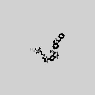 CS(=O)(=O)CCNCc1cnc(-c2ccc3ncnc(Nc4ccc5c(cnn5Cc5ccccc5)c4)c3c2)s1